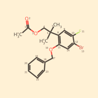 CC(=O)OCC(C)(C)c1cc(F)c(Br)cc1OCc1ccccc1